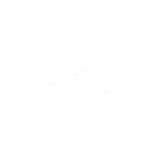 CC(C)(C)OC(=O)N[C@@H]1Cc2c(n(Cc3cscn3)c3ccc(C#N)cc23)C1